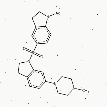 CC(=O)N1CCc2cc(S(=O)(=O)N3CCc4ccc(N5CCN(C)CC5)cc43)ccc21